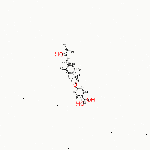 CCC(CC)(COc1ccc(C(O)O)cc1)c1ccc(C=CC(O)C(C)C)c(C)c1